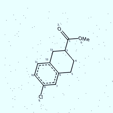 COC(=O)C1CCc2cc(Cl)ccc2C1